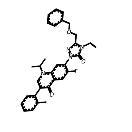 CCn1c(COCc2ccccc2)nn(-c2cc3c(cc2F)c(=O)c(-c2ccccc2C)cn3C(C)C)c1=O